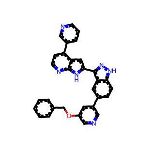 c1ccc(COc2cncc(-c3ccc4[nH]nc(-c5cc6c(-c7cccnc7)ccnc6[nH]5)c4c3)c2)cc1